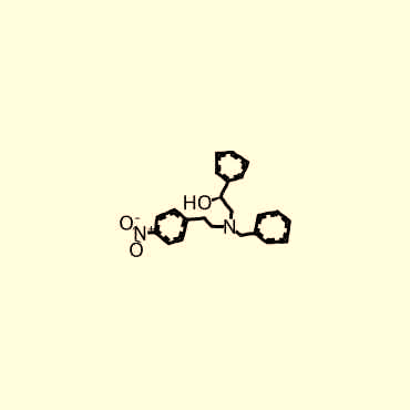 O=[N+]([O-])c1ccc(CCN(Cc2ccccc2)C[C@@H](O)c2ccccc2)cc1